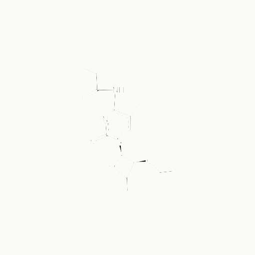 CCO[C@H]1C(C)O[C@H]1n1cc(C)c(NC(=O)C(C)C)nc1=O